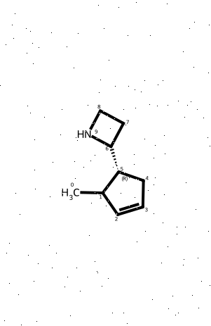 CC1C=CC[C@H]1C1CCN1